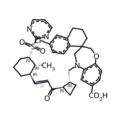 C[C@@H]1[C@@H](/C=C/C(=O)[C@@H]2CC[C@H]2CN2CC3(CCCc4cc(Cl)ccc43)COc3ccc(C(=O)O)cc32)CCC[C@@H]1S(=O)(=O)c1ncccn1